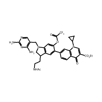 CCOC(=O)c1cn(C2CC2)c2cc(-c3cc4c(cc3OC(=O)C(F)(F)F)N(Cc3cnc(N)nc3N)CC4CCNC(C)=O)ccc2c1=O